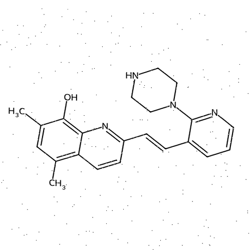 Cc1cc(C)c2ccc(/C=C/c3cccnc3N3CCNCC3)nc2c1O